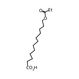 CCC(=O)OCCCCCCCCCCCC(=O)O